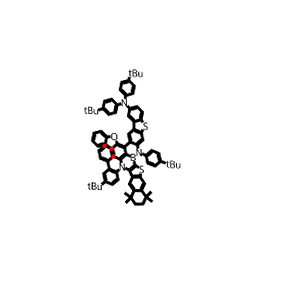 CC(C)(C)c1ccc(N2B3c4sc5cc6c(cc5c4N(c4ccc(C(C)(C)C)cc4-c4ccccc4)c4cc5c(oc7ccccc75)c(c43)-c3cc4c(cc32)sc2ccc(N(c3ccc(C(C)(C)C)cc3)c3ccc(C(C)(C)C)cc3)cc24)C(C)(C)CCC6(C)C)cc1